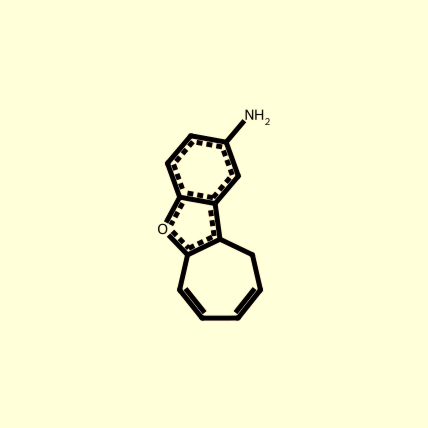 Nc1ccc2oc3c(c2c1)CC=CC=C3